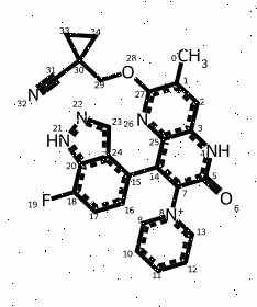 Cc1cc2[nH]c(=O)c(-[n+]3ccccc3)c(-c3ccc(F)c4[nH]ncc34)c2nc1OCC1(C#N)CC1